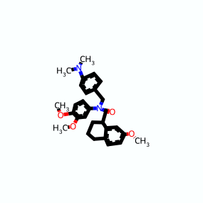 COc1ccc2c(c1)C(C(=O)N(Cc1ccc(N(C)C)cc1)c1ccc(OC)c(OC)c1)CCC2